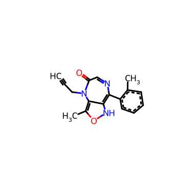 C#CCN1C(=O)C=NC(c2ccccc2C)=C2NOC(C)=C21